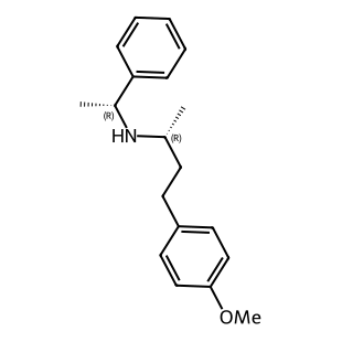 COc1ccc(CC[C@@H](C)N[C@H](C)c2ccccc2)cc1